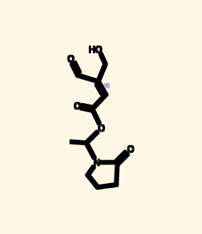 CC(OC(=O)/C=C(\C=O)CO)N1CCCC1=O